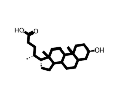 C[C@H](CCC(=O)O)[C@H]1CCC2C3CCC4C[C@H](O)CCC4(C)C3CCC21C